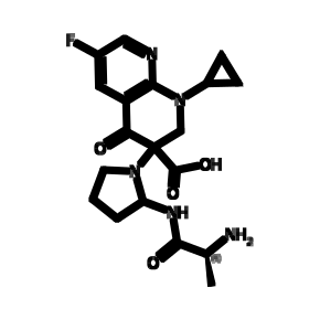 C[C@H](N)C(=O)NC1CCCN1C1(C(=O)O)CN(C2CC2)c2ncc(F)cc2C1=O